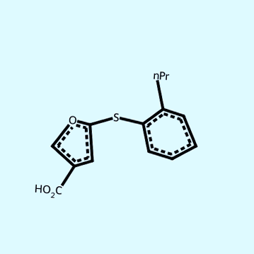 CCCc1ccccc1Sc1cc(C(=O)O)co1